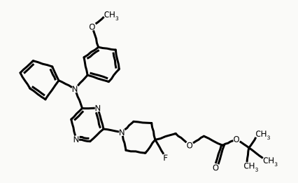 COc1cccc(N(c2ccccc2)c2cncc(N3CCC(F)(COCC(=O)OC(C)(C)C)CC3)n2)c1